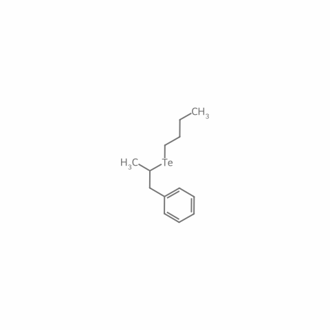 CCCC[Te]C(C)Cc1ccccc1